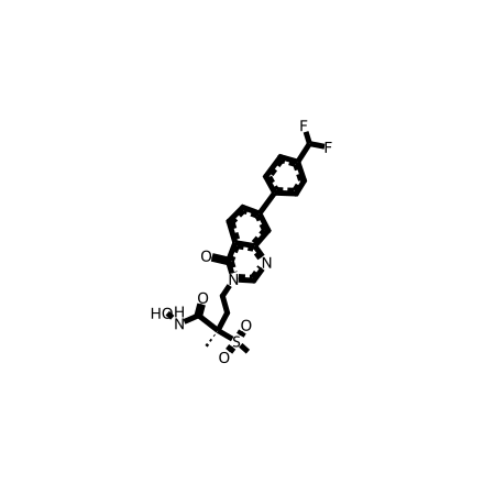 C[C@@](CCn1cnc2cc(-c3ccc(C(F)F)cc3)ccc2c1=O)(C(=O)NO)S(C)(=O)=O